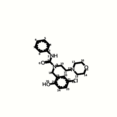 O=C(Nc1ccccc1)N(CCN1CCOCC1)Cc1cc(Cl)ccc1O